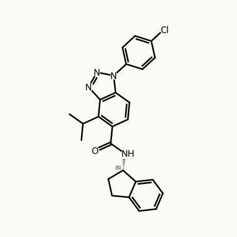 CC(C)c1c(C(=O)N[C@H]2CCc3ccccc32)ccc2c1nnn2-c1ccc(Cl)cc1